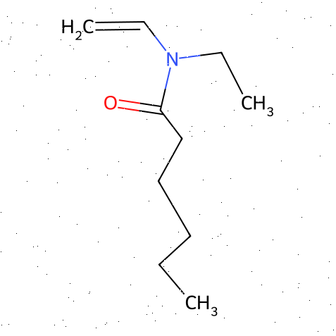 C=CN(CC)C(=O)CCCCC